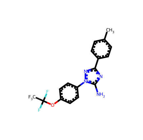 Cc1ccc(-c2nc(N)n(-c3ccc(OC(F)(F)C(F)(F)F)cc3)n2)cc1